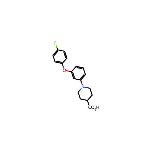 O=C(O)C1CCN(c2cccc(Oc3ccc(F)cc3)c2)CC1